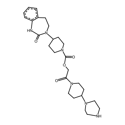 O=C(COC(=O)N1CCC(N2CCc3ccccc3NC2=O)CC1)N1CCC(N2CCNCC2)CC1